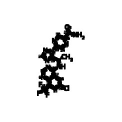 C[C@H](Nc1ncnc2c(C(F)(F)F)cc(Cl)cc12)c1ncnn1-c1cnc(C(N)=O)cn1